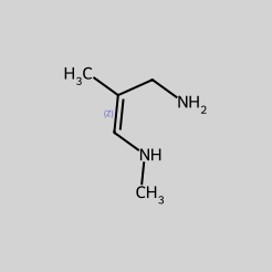 CN/C=C(/C)CN